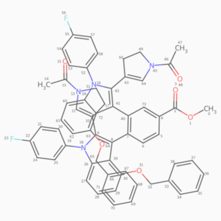 COC(=O)c1ccc(-c2c(C3=CN(C(C)=O)CC3)n(-c3ccc(F)cc3)c3cccc(OCc4ccccc4)c23)c(-c2c(C3=CN(C(C)=O)CC3)n(-c3ccc(F)cc3)c3cccc(OCc4ccccc4)c23)c1